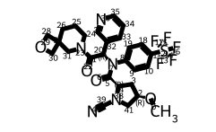 CO[C@@H]1C[C@H](C(=O)N(c2ccc(S(F)(F)(F)(F)F)cc2)[C@@H](C(=O)N2CCCC3(COC3)C2)c2cccnc2)N(C#N)C1